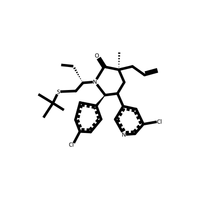 C=CC[C@@]1(C)CC(c2cncc(Cl)c2)[C@@H](c2ccc(Cl)cc2)N([C@@H](CC)CSC(C)(C)C)C1=O